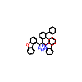 c1ccc(-c2cccc(-c3c(-c4ccccc4)nnnc3-c3cccc4oc5ccccc5c34)c2-c2cccc3c2[nH]c2ccccc23)cc1